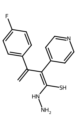 C=C(/C(=C(/S)NN)c1ccncc1)c1ccc(F)cc1